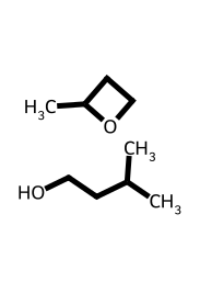 CC(C)CCO.CC1CCO1